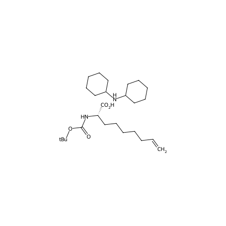 C1CCC(NC2CCCCC2)CC1.C=CCCCCC[C@H](NC(=O)OC(C)(C)C)C(=O)O